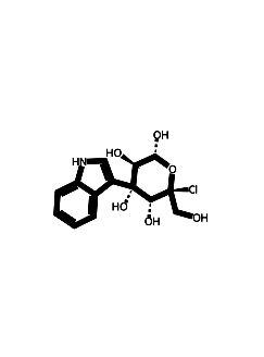 OC[C@@]1(Cl)O[C@@H](O)[C@H](O)[C@](O)(c2c[nH]c3ccccc23)[C@H]1O